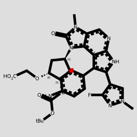 Cn1cc(-c2[nH]c3ncc4c(c3c2-c2ccc(N)cc2)n([C@H]2C[C@H](NC(=O)OC(C)(C)C)[C@H](OCC(=O)O)C2)c(=O)n4C)c(F)n1